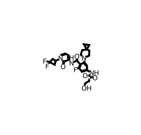 O=C(Nc1cccn(C2CC(F)(F)C2)c1=O)c1c(F)cc(NS(=O)(=O)CCO)cc1N1CCC2(CC1)CC2